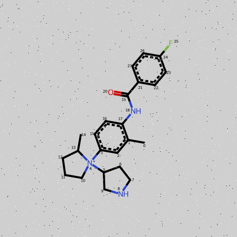 Cc1cc([N+]2(C3CCNC3)CCCC2C)ccc1NC(=O)c1ccc(F)cc1